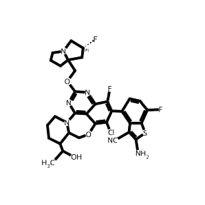 CC(O)C1CCCN2c3nc(OCC45CCCN4C[C@H](F)C5)nc4c(F)c(-c5ccc(F)c6sc(N)c(C#N)c56)c(Cl)c(c34)OCC12